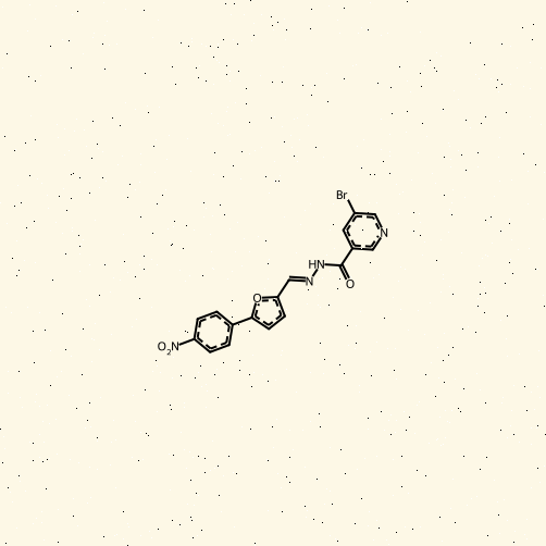 O=C(NN=Cc1ccc(-c2ccc([N+](=O)[O-])cc2)o1)c1cncc(Br)c1